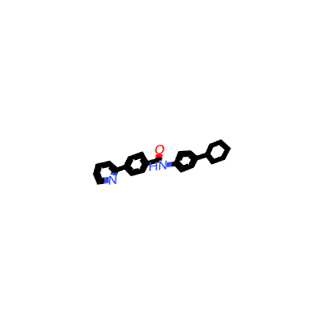 O=C(Nc1ccc(C2CCCCC2)cc1)c1ccc(-c2ccccn2)cc1